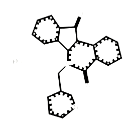 Cl.O=C1c2ccccc2-c2c1c1ccccc1c(=O)n2Cc1cccnc1